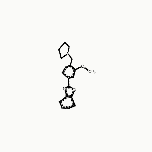 COc1cc(-c2nc3ccccc3o2)ccc1CN1CCCC1